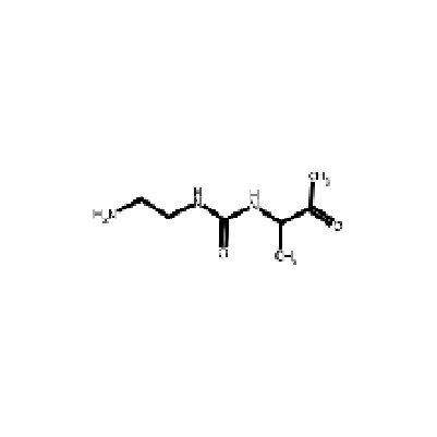 CC(=O)C(C)NC(=O)NCCN